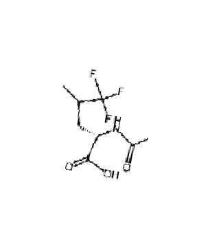 CC(=O)N[C@@H](CC(C)C(F)(F)F)C(=O)O